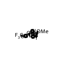 COCCOC(C)(I)c1ccccc1Oc1ncccc1NC(=O)Nc1ccc(OC(F)(F)F)cc1